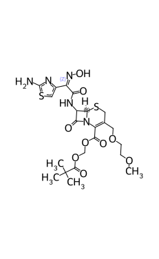 COCCOCC1=C(C(=O)OCOC(=O)C(C)(C)C)N2C(=O)C(NC(=O)/C(=N\O)c3csc(N)n3)[C@H]2SC1